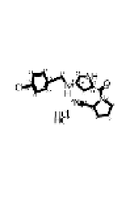 Cl.Cl.N#CC1CCCN1C(=O)[C@@H]1C[C@H](NCc2ccc(Cl)cc2)CN1